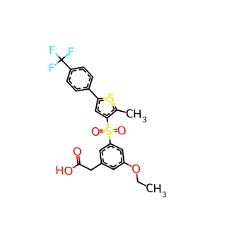 CCOc1cc(CC(=O)O)cc(S(=O)(=O)c2cc(-c3ccc(C(F)(F)F)cc3)sc2C)c1